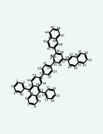 c1ccc(-c2c3ccccc3c(-c3ccccc3)c3cc(-c4ccc(-c5cc(-c6ccc7ccccc7c6)cc(-c6ccc7ccccc7c6)n5)cc4)ccc23)cc1